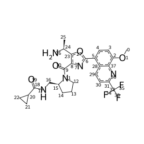 COc1ccc(-c2nc(C(=O)N3CCC[C@H]3CNC(=O)C3CC3)c([C@H](C)N)o2)c2ccc(C(F)(F)F)nc12